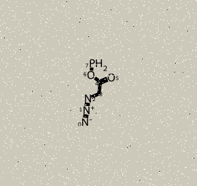 [N-]=[N+]=NCC(=O)OP